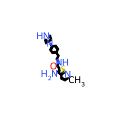 Cc1ccc2c(N)c(C(=O)NCCc3ccc(N4CC5CC4CN5)cc3)sc2n1